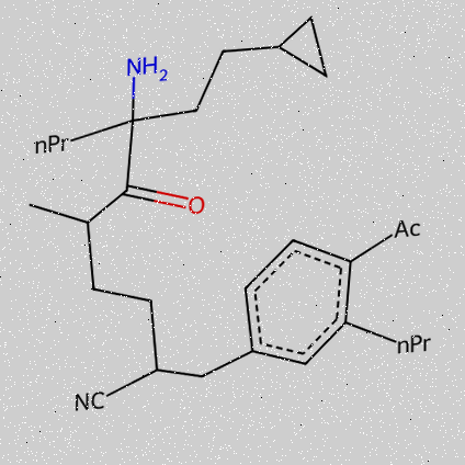 CCCc1cc(CC(C#N)CCC(C)C(=O)C(N)(CCC)CCC2CC2)ccc1C(C)=O